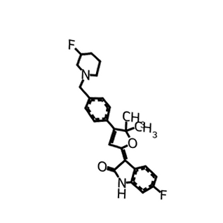 CC1(C)O/C(=C2/C(=O)Nc3cc(F)ccc32)C=C1c1ccc(CN2CCCC(F)C2)cc1